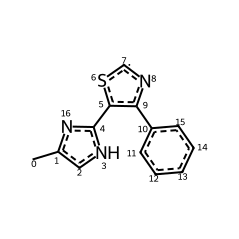 Cc1c[nH]c(-c2s[c]nc2-c2ccccc2)n1